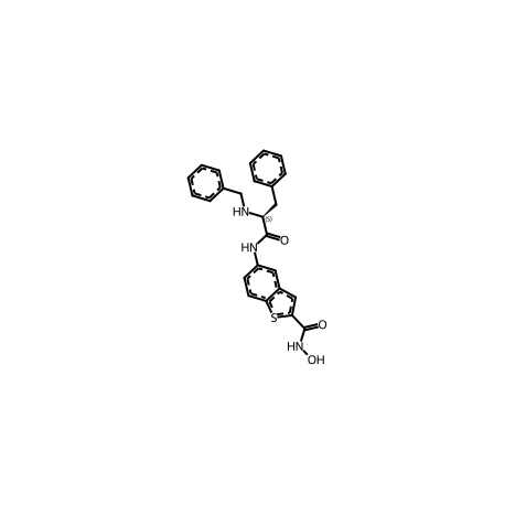 O=C(NO)c1cc2cc(NC(=O)[C@H](Cc3ccccc3)NCc3ccccc3)ccc2s1